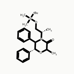 CC1O[C@H](c2ccccc2)C(c2ccccc2)N([C@@H](C)CO[Si](C)(C)C(C)(C)C)C1=O